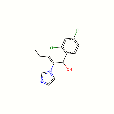 CC/C=C(/C(O)c1ccc(Cl)cc1Cl)n1ccnc1